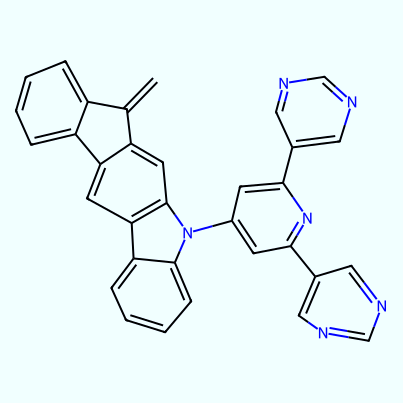 C=C1c2ccccc2-c2cc3c4ccccc4n(-c4cc(-c5cncnc5)nc(-c5cncnc5)c4)c3cc21